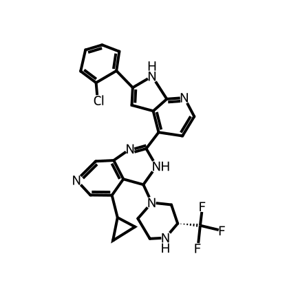 FC(F)(F)[C@H]1CN(C2NC(c3ccnc4[nH]c(-c5ccccc5Cl)cc34)=Nc3cncc(C4CC4)c32)CCN1